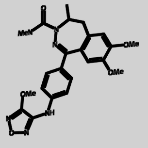 CNC(=O)N1N=C(c2ccc(Nc3nonc3OC)cc2)c2cc(OC)c(OC)cc2CC1C